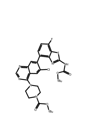 CC(C)(C)OC(=O)Nc1nc2c(-c3cc4ncnc(N5CCN(C(=O)OC(C)(C)C)CC5)c4cc3Cl)ccc(F)c2s1